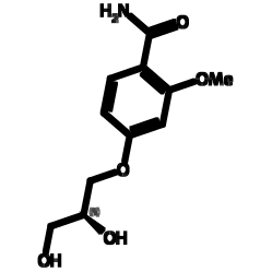 COc1cc(OC[C@@H](O)CO)ccc1C(N)=O